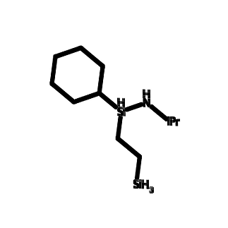 CC(C)N[SiH](CC[SiH3])C1CCCCC1